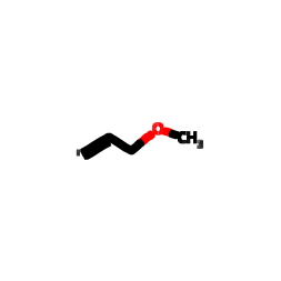 [C]=CCOC